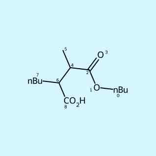 CCCCOC(=O)C(C)C(CCCC)C(=O)O